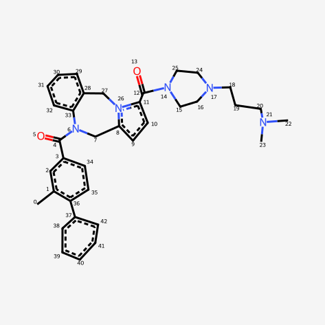 Cc1cc(C(=O)N2Cc3ccc(C(=O)N4CCN(CCCN(C)C)CC4)n3Cc3ccccc32)ccc1-c1ccccc1